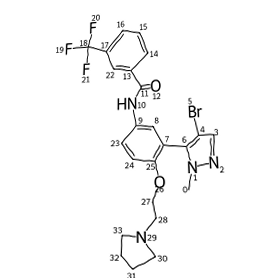 Cn1ncc(Br)c1-c1cc(NC(=O)c2cccc(C(F)(F)F)c2)ccc1OCCN1CCCC1